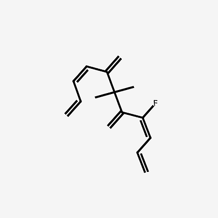 C=C/C=C\C(=C)C(C)(C)C(=C)/C(F)=C\C=C